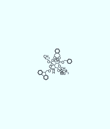 C=CCOC(=O)O[C@H]1[C@H](OP2(=O)OCc3ccccc3CO2)[C@@H](COCc2ccccc2)OC(O[Si](C)(C)C(C)(C)C)[C@@H]1NC(=O)OCC1c2ccccc2-c2ccccc21